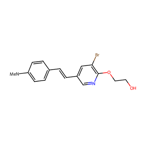 CNc1ccc(C=Cc2cnc(OCCO)c(Br)c2)cc1